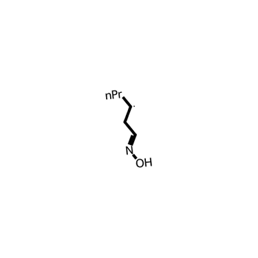 CCC[CH]CC=NO